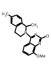 COc1cccc2c(N3CCc4cc(C)ccc4C3C)nc(Cl)nc12